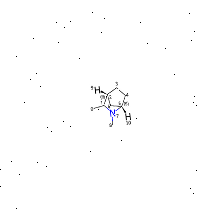 CC1[C@@H]2CC[C@@H](C2)N1C